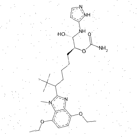 CCOc1ccc(OCC)c2c1nc(C(CCCC[C@H](OC(N)=O)[C@H](O)Nc1ccn[nH]1)C(C)(C)C)n2C